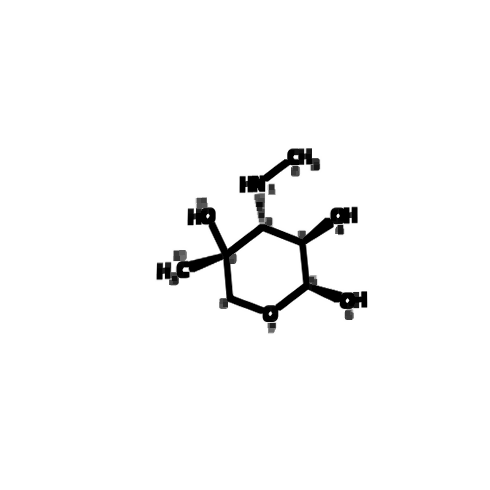 CN[C@@H]1[C@@H](O)[C@@H](O)OC[C@]1(C)O